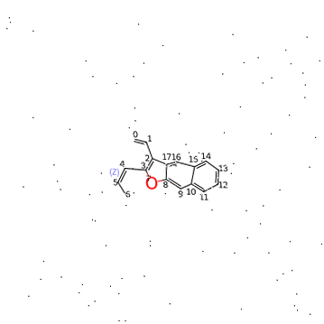 C=Cc1c(/C=C\C)oc2cc3ccccc3cc12